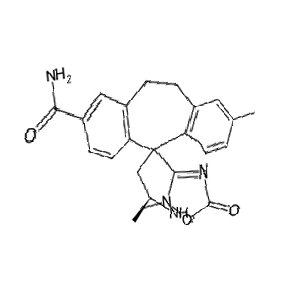 Cc1ccc2c(c1)CCc1cc(C(N)=O)ccc1C2(C[C@H](C)N)c1nc(=O)on1C